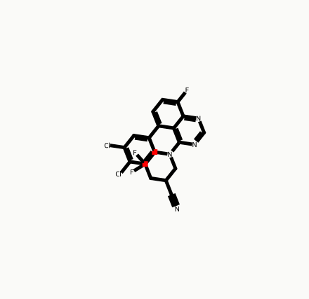 N#CC1CN(c2ncnc3c(F)ccc(-c4ccc(Cl)c(Cl)c4)c23)CC(F)(F)C1